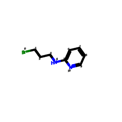 BrCCCNc1ccccn1